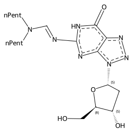 CCCCCN(C=Nc1nc2c(nnn2[C@@H]2C[C@H](O)[C@@H](CO)O2)c(=O)[nH]1)CCCCC